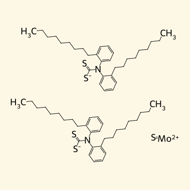 CCCCCCCCCc1ccccc1N(C(=S)[S-])c1ccccc1CCCCCCCCC.CCCCCCCCCc1ccccc1N(C(=S)[S-])c1ccccc1CCCCCCCCC.[S]=[Mo+2]